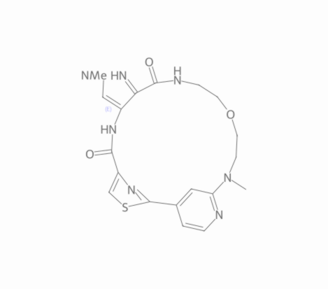 CN/C=C1/NC(=O)c2csc(n2)-c2ccnc(c2)N(C)CCOCCNC(=O)C1=N